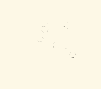 O=C(CCc1cnoc1-c1ccc(C(F)(F)F)cc1)NC1CCN(Cc2ccccc2)CC1.O=C(O)C(F)(F)F